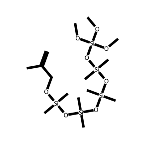 C=C(C)CO[Si](C)(C)O[Si](C)(C)O[Si](C)(C)O[Si](C)(C)O[Si](OC)(OC)OC